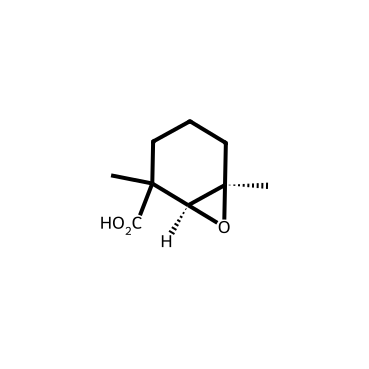 CC1(C(=O)O)CCC[C@@]2(C)O[C@@H]12